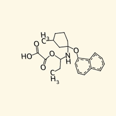 CCC(NC1(Oc2cccc3ccccc23)CCCC(C)C1)OC(=O)C(=O)O